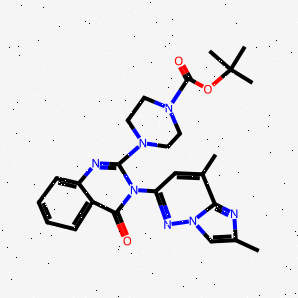 Cc1cn2nc(-n3c(N4CCN(C(=O)OC(C)(C)C)CC4)nc4ccccc4c3=O)cc(C)c2n1